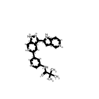 CC(C)(C)C(=O)Nc1cncc(-c2cc3c(-c4cc5cnccc5[nH]4)n[nH]c3cn2)c1